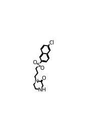 O=C1CNCCN1CCCS(=O)(=O)c1ccc2cc(Cl)ccc2c1